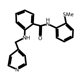 CSc1ccccc1NC(=O)c1ccccc1NCc1ccncc1